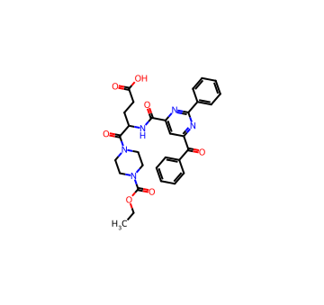 CCOC(=O)N1CCN(C(=O)C(CCC(=O)O)NC(=O)c2cc(C(=O)c3ccccc3)nc(-c3ccccc3)n2)CC1